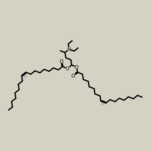 CCCCCCCC/C=C\CCCCCCCC(=O)OC(CCC(C)N(CC)CC)OC(=O)CCCCCCC/C=C\CCCCCCCC